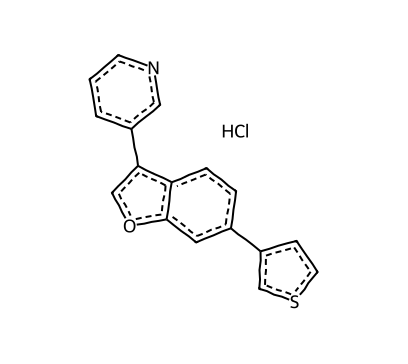 Cl.c1cncc(-c2coc3cc(-c4ccsc4)ccc23)c1